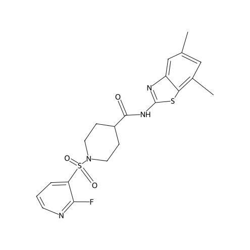 Cc1cc(C)c2sc(NC(=O)C3CCN(S(=O)(=O)c4cccnc4F)CC3)nc2c1